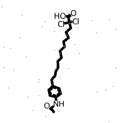 CC(=O)Nc1ccc(CCCCCCCCCCCCC(Cl)(Cl)C(=O)O)cc1